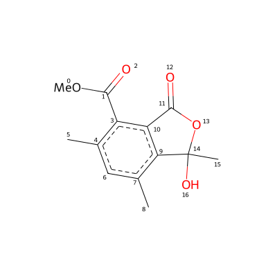 COC(=O)c1c(C)cc(C)c2c1C(=O)OC2(C)O